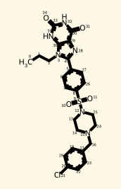 CCCn1c(-c2ccc(S(=O)(=O)N3CCN(Cc4ccc(Cl)cc4)CC3)cc2)nc2c(=O)[nH]c(=O)[nH]c21